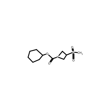 CS(=O)(=O)C1CN(C(=O)OC2CCCCC2)C1